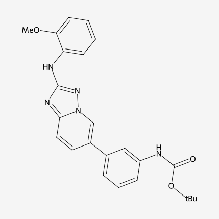 COc1ccccc1Nc1nc2ccc(-c3cccc(NC(=O)OC(C)(C)C)c3)cn2n1